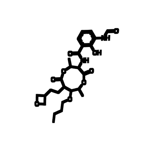 CCCCOC1C(C)OC(=O)C(NC(=O)c2cccc(NC=O)c2O)C(C)OC(=O)C1CCC1COC1